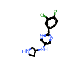 Clc1ccc(-c2ncc(NC3CCNC3)cn2)cc1Cl